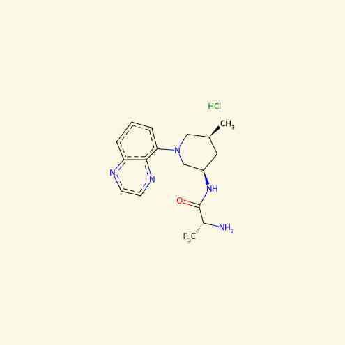 C[C@H]1C[C@@H](NC(=O)[C@H](N)C(F)(F)F)CN(c2cccc3nccnc23)C1.Cl